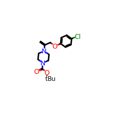 C=C(COc1ccc(Cl)cc1)N1CCN(C(=O)OC(C)(C)C)CC1